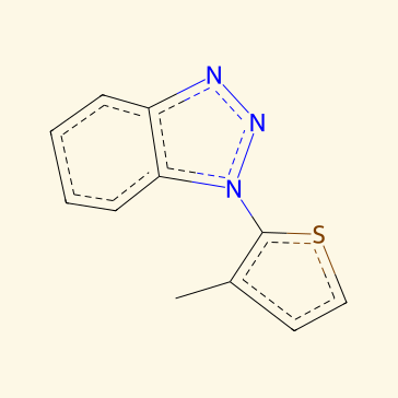 Cc1ccsc1-n1nnc2ccccc21